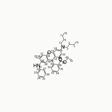 CCCCN(CCCC)c1ccc2c(c1)Oc1cc(C)c(Nc3ccccc3)cc1C2c1ccccc1C(=O)OCC